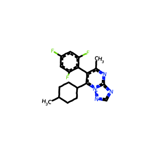 Cc1nc2ncnn2c(C2CCC(C)CC2)c1-c1c(F)cc(F)cc1F